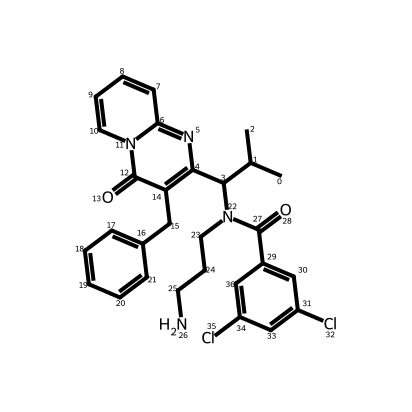 CC(C)C(c1nc2ccccn2c(=O)c1Cc1ccccc1)N(CCCN)C(=O)c1cc(Cl)cc(Cl)c1